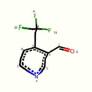 O=[C]c1cnccc1C(F)(F)F